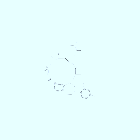 CCCc1cc(Cl)ccc1[C@@H]1COc2ccc3cc2N(C1)C[C@@H]1CC[C@H]1[C@@H](OCC(=O)N(C)C)/C=C/[C@H](C)[C@H](C)[C@@H](C)S(=O)(=O)NC3=O